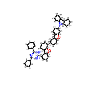 c1ccc(C2=NC(c3ccccc3)NC(c3cccc4oc5c(-c6ccc7oc8cc(-n9c%10ccccc%10c%10ccccc%109)ccc8c7c6)cccc5c34)N2)cc1